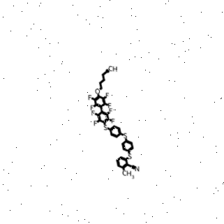 C#CCCCCOc1c(F)c(F)c(-c2c(F)c(F)c(Sc3ccc(Sc4ccc(Sc5cccc(C)c5C#N)cc4)cc3)c(F)c2F)c(F)c1F